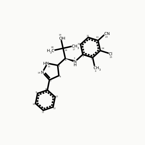 Cc1c(N[C@@H](C2CC(c3ccccc3)=NN2)C(C)(C)O)ccc(C#N)c1Cl